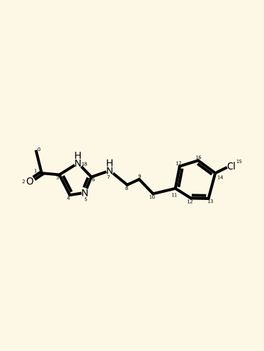 CC(=O)c1cnc(NCCCc2ccc(Cl)cc2)[nH]1